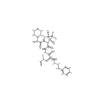 C=CCC[C@H](NC(=O)[C@@H]1[C@@H]2[C@H](CN1C(=O)[C@@H](C)C1CCCCC1)C2(C)C)C(=O)C(=O)NCCSc1ccccc1